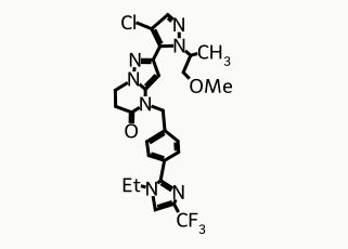 CCn1cc(C(F)(F)F)nc1-c1ccc(CN2C(=O)CCn3nc(-c4c(Cl)cnn4C(C)COC)cc32)cc1